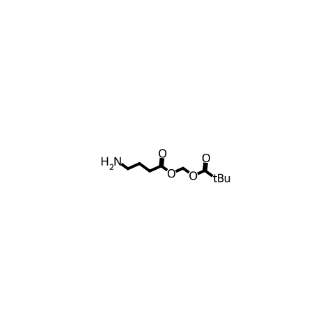 CC(C)(C)C(=O)OCOC(=O)CCCN